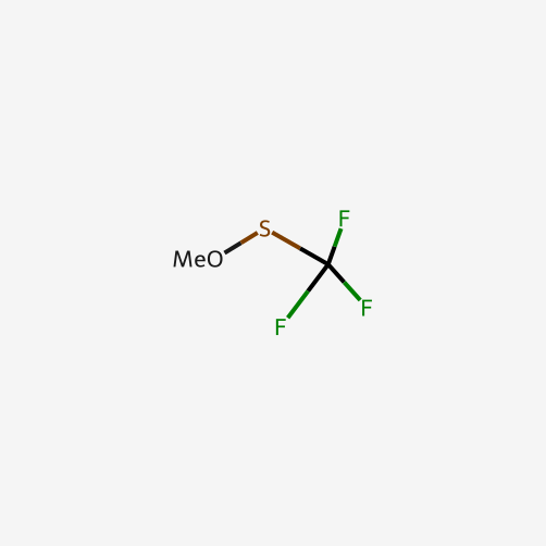 COSC(F)(F)F